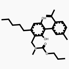 C=C(C)c1ccc(C)cc1-c1c(O)cc(CCCCC)c(CN(C)C(=O)OCCC)c1O